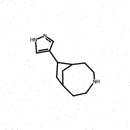 c1n[nH]cc1C1CC2CCNCCC1C2